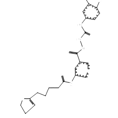 O=C(CCCCC1=CCCS1)Nc1cccc(C(=O)NNC(=S)Nc2ccc(Cl)c(Cl)c2)c1